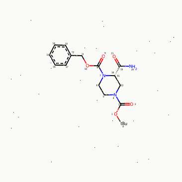 CC(C)(C)OC(=O)N1CCN(C(=O)OCc2ccccc2)[C@H](C(N)=O)C1